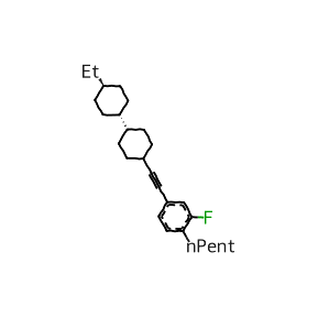 CCCCCc1ccc(C#CC2CCC([C@H]3CC[C@H](CC)CC3)CC2)cc1F